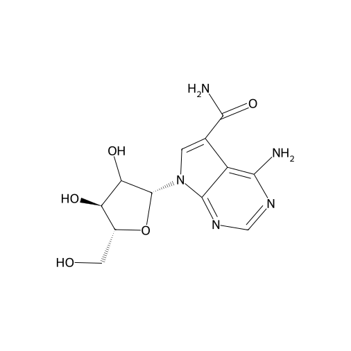 NC(=O)c1cn([C@@H]2O[C@H](CO)[C@@H](O)C2O)c2ncnc(N)c12